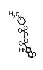 CN1CCC(OC(=O)OCOC(=O)c2cc3occc3[nH]2)CC1